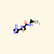 O=C(N[C@@H]1C[C@H]1C(F)(F)F)c1csc(-c2cnc[nH]2)n1